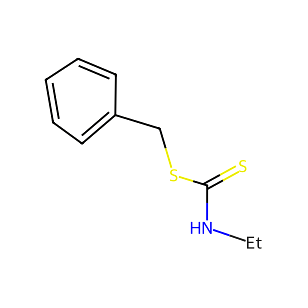 CCNC(=S)SCc1ccccc1